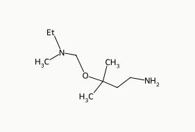 CCN(C)COC(C)(C)CCN